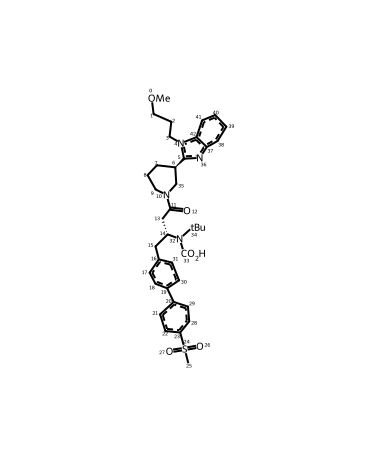 COCCCn1c([C@@H]2CCCN(C(=O)C[C@@H](Cc3ccc(-c4ccc(S(C)(=O)=O)cc4)cc3)N(C(=O)O)C(C)(C)C)C2)nc2ccccc21